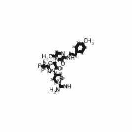 Cc1ccc(CCNc2ncc(C)n(C(OC(=O)C(F)(F)F)C(=O)NC3CCN(C(=N)N)OC3)c2=O)cc1